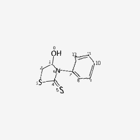 OC1CSC(=S)N1c1ccccc1